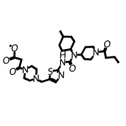 CCCC(=O)N1CCC(N(C(=O)Nc2ncc(CN3CCN(C(=O)CC(=O)OC)CC3)s2)C2CCC(C)CC2)CC1